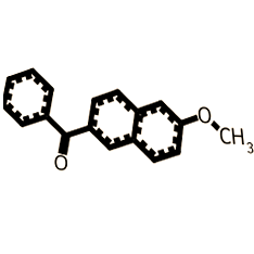 COc1ccc2cc(C(=O)c3ccccc3)ccc2c1